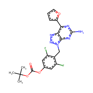 CC(C)(C)OC(=O)Oc1cc(F)c(Cn2nnc3c(-c4ccco4)nc(N)nc32)c(F)c1